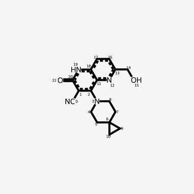 N#Cc1c(N2CCC3(CC2)CC3)c2nc(CO)ccc2[nH]c1=O